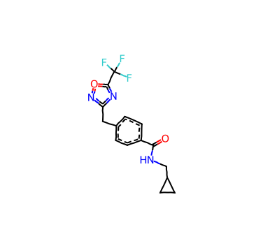 O=C(NCC1CC1)c1ccc(Cc2noc(C(F)(F)F)n2)cc1